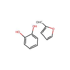 O=Cc1ccco1.Oc1ccccc1O